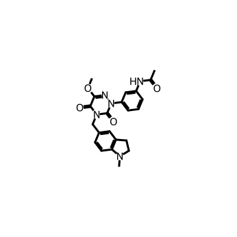 COc1nn(-c2cccc(NC(C)=O)c2)c(=O)n(Cc2ccc3c(c2)CCN3C)c1=O